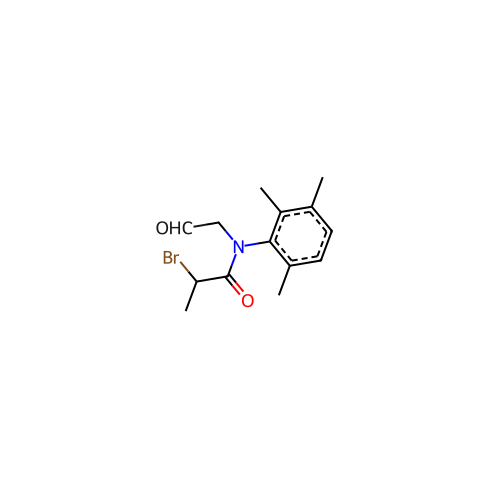 Cc1ccc(C)c(N(CC=O)C(=O)C(C)Br)c1C